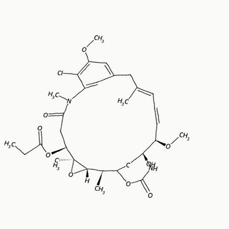 CCC(=O)O[C@H]1CC(=O)N(C)c2cc(cc(OC)c2Cl)C/C(C)=C/C=C/[C@@H](OC)[C@@]2(O)CC(OC(=O)N2)[C@@H](C)[C@@H]2O[C@@]12C